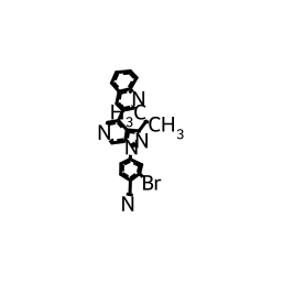 CC(C)c1nn(-c2ccc(C#N)c(Br)c2)c2cncc(-c3cnc4ccccc4c3)c12